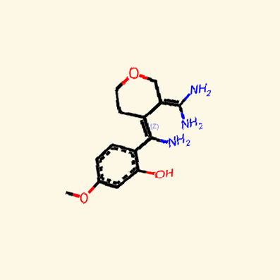 COc1ccc(/C(N)=C2\CCOCC2=C(N)N)c(O)c1